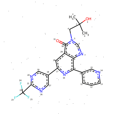 CC(C)(O)Cn1cnc2c(-c3cccnc3)nc(-c3cnc(C(F)(F)F)nc3)cc2c1=O